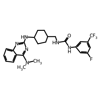 CN(C)c1nc(NC2CCC(CNC(=O)Nc3cc(F)cc(C(F)(F)F)c3)CC2)nc2ccccc12